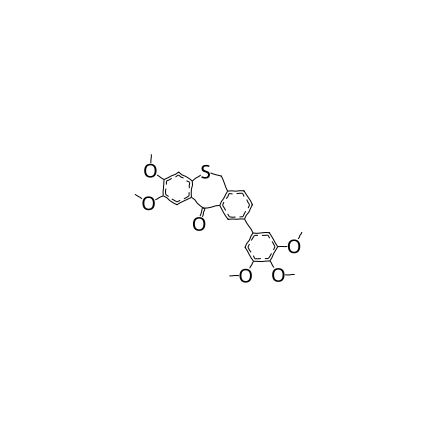 COc1cc2c(cc1OC)C(=O)c1cc(-c3cc(OC)c(OC)c(OC)c3)ccc1CS2